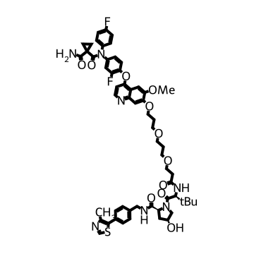 COc1cc2c(Oc3ccc(N(C(=O)C4(C(N)=O)CC4)c4ccc(F)cc4)cc3F)ccnc2cc1OCCCOCCCOCCC(=O)N[C@H](C(=O)N1C[C@@H](O)C[C@H]1C(=O)NCc1ccc(-c2scnc2C)cc1)C(C)(C)C